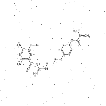 CN(C)C(=S)Oc1ccc(CCCCNC(=N)NC(=O)c2nc(CI)c(N)nc2N)cc1